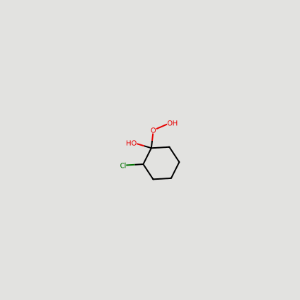 OOC1(O)CCCCC1Cl